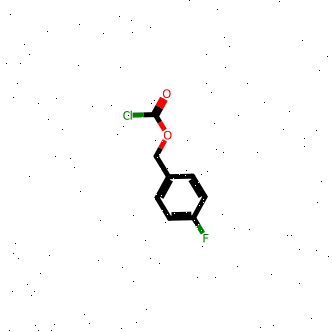 O=C(Cl)OCc1ccc(F)cc1